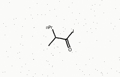 CCCC(C)C(=O)I